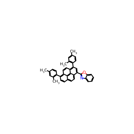 Cc1ccc(-c2ccc3ccc4c(-c5nc6ccccc6o5)cc(-c5ccc(C)cc5C)c5ccc2c3c45)c(C)c1